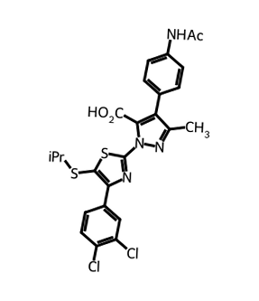 CC(=O)Nc1ccc(-c2c(C)nn(-c3nc(-c4ccc(Cl)c(Cl)c4)c(SC(C)C)s3)c2C(=O)O)cc1